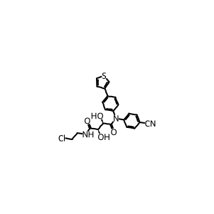 N#Cc1ccc(N(C(=O)[C@H](O)[C@@H](O)C(=O)NCCCl)c2ccc(-c3ccsc3)cc2)cc1